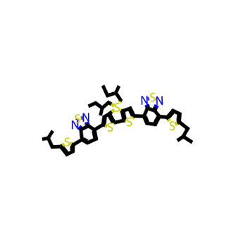 CCC(C)CS1(CC(C)CC)c2cc(-c3ccc(-c4ccc(CC(C)C)s4)c4nsnc34)sc2-c2sc(-c3ccc(-c4ccc(CC(C)C)s4)c4nsnc34)cc21